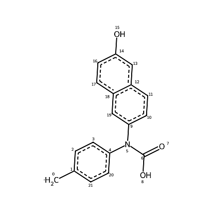 [CH2]c1ccc(N(C(=O)O)c2ccc3cc(O)ccc3c2)cc1